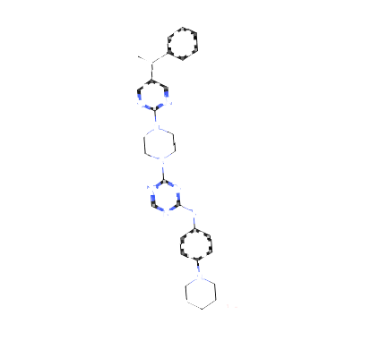 C[C@@H](c1ccccc1)c1cnc(N2CCN(c3ncnc(Nc4ccc(N5CCC[C@@H](O)C5)cc4)n3)CC2)nc1